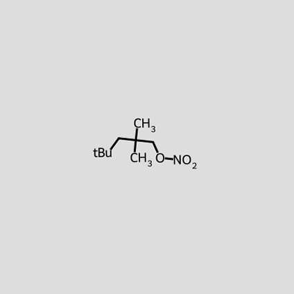 CC(C)(C)CC(C)(C)CO[N+](=O)[O-]